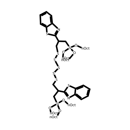 CCCCCCCCO[Si](CC(CSSSSSCC(C[Si](OCCCCCCCC)(OCCCCCCCC)OCCCCCCCC)c1nc2ccccc2s1)c1nc2ccccc2s1)(OCCCCCCCC)OCCCCCCCC